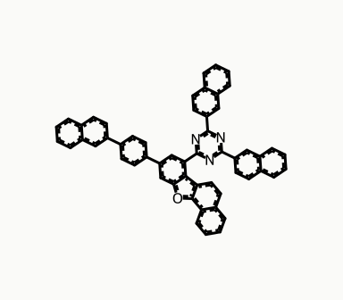 c1ccc2cc(-c3ccc(-c4cc(-c5nc(-c6ccc7ccccc7c6)nc(-c6ccc7ccccc7c6)n5)c5c(c4)oc4c6ccccc6ccc45)cc3)ccc2c1